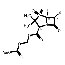 COC(=O)OCOC(=O)[C@@H]1N2C(=O)[C@H](Br)[C@H]2S(=O)(=O)C1(C)C